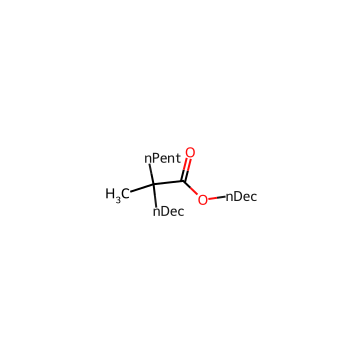 CCCCCCCCCCOC(=O)C(C)(CCCCC)CCCCCCCCCC